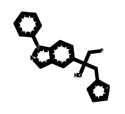 OC(CF)(Cc1cccs1)c1ccc2c(cnn2-c2ccccc2)c1